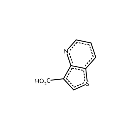 O=C(O)c1csc2cccnc12